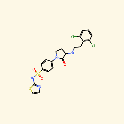 O=C1C(NCCc2c(Cl)cccc2Cl)CCN1c1ccc(S(=O)(=O)Nc2nccs2)cc1